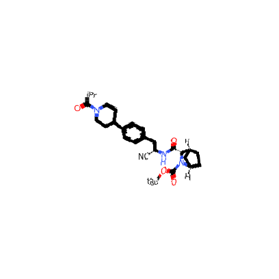 CC(C)C(=O)N1CCC(c2ccc(C[C@@H](C#N)NC(=O)[C@@H]3[C@H]4CC[C@H](C4)N3C(=O)OC(C)(C)C)cc2)CC1